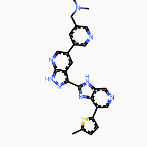 Cc1ccc(-c2cncc3[nH]c(-c4n[nH]c5ncc(-c6cncc(CN(C)C)c6)cc45)nc23)s1